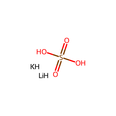 O=S(=O)(O)O.[KH].[LiH]